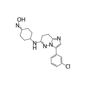 ON=C1CCC(NC2=Nn3c(-c4cccc(Cl)c4)cnc3CC2)CC1